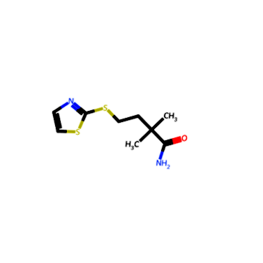 CC(C)(CCSc1nccs1)C(N)=O